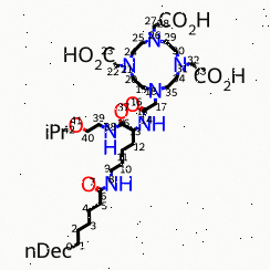 CCCCCCCCCCCCCCCC(=O)NCCCCC(NC(=O)CN1CCN(CC(=O)O)CCN(CC(=O)O)CCN(CC(=O)O)CC1)C(=O)NCCOC(C)C